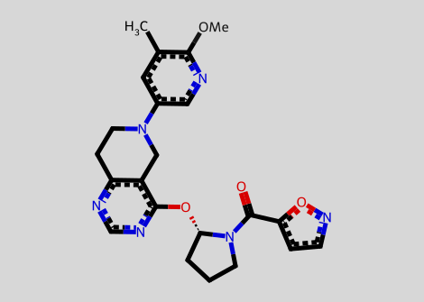 COc1ncc(N2CCc3ncnc(O[C@H]4CCCN4C(=O)c4ccno4)c3C2)cc1C